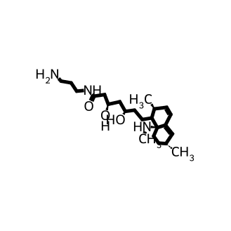 CN[C@]12CC[C@@H](C)C=C1C=C[C@H](C)C2CC[C@@H](O)C[C@@H](O)CC(=O)NCCCN